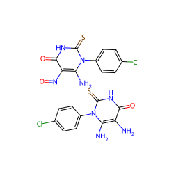 Nc1c(N)n(-c2ccc(Cl)cc2)c(=S)[nH]c1=O.Nc1c(N=O)c(=O)[nH]c(=S)n1-c1ccc(Cl)cc1